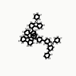 c1ccc(-c2ccc3c(c2)c2cc(-c4ccc(N(c5ccc(-c6cccc7c6c6ccccc6n7-c6ccccc6)cc5)c5cccc6c5C5(c7ccccc7-c7ccccc75)c5ccccc5-6)cc4)ccc2n3-c2ccccc2)cc1